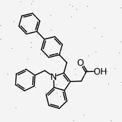 O=C(O)Cc1c(Cc2ccc(-c3ccccc3)cc2)n(Cc2ccccc2)c2ccccc12